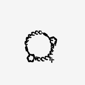 C1#Cc2ccc[n+](c2)CCCCCC[n+]2cccc(c2)C#CCCCCCC1.[I-].[I-]